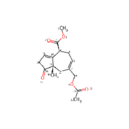 COC(=O)[C@H]1CC=C(COC(C)=O)C[C@]2(C)C(=O)CC=C12